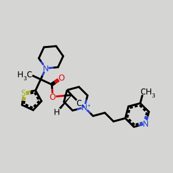 Cc1cncc(CCC[N+]23CCC(CC2)[C@@H](OC(=O)C(C)(c2cccs2)N2CCCCC2)C3)c1